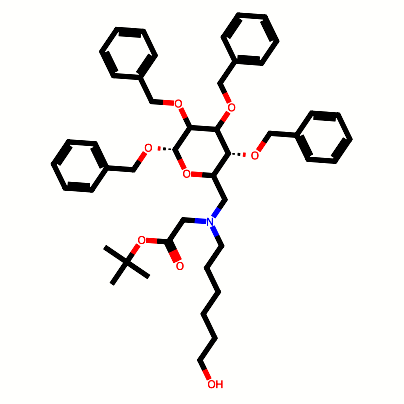 CC(C)(C)OC(=O)CN(CCCCCCO)CC1O[C@H](OCc2ccccc2)C(OCc2ccccc2)C(OCc2ccccc2)[C@@H]1OCc1ccccc1